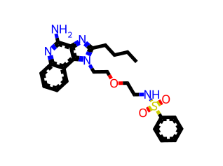 CCCCc1nc2c(N)nc3ccccc3c2n1CCOCCNS(=O)(=O)c1ccccc1